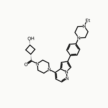 CCN1CCN(c2ccc(-c3cc4c(N5CCN(C(=O)[C@H]6C[C@@H](O)C6)CC5)ccnn4c3)cc2)CC1